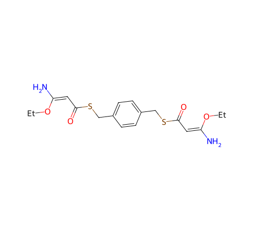 CCOC(N)=CC(=O)SCc1ccc(CSC(=O)C=C(N)OCC)cc1